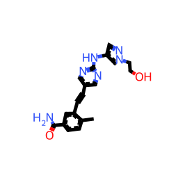 Cc1ccc(C(N)=O)cc1C#Cc1cnc(Nc2cnn(CCO)c2)nc1